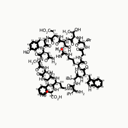 CC[C@H](C)[C@H](NC(=O)[C@@H](N)C(C)C)C(=O)N[C@@H](Cc1c[nH]c2ccccc12)C(=O)N[C@@H](CCCNC(=N)N)C(=O)NCC(=O)N[C@H](C(=O)N[C@H](C(=O)N[C@H](C(=O)N[C@@H](CC(=O)O)C(=O)N[C@@H](Cc1ccc(O)cc1)C(=O)N[C@@H](CC(N)=O)C(=O)N[C@@H](C)C(=O)N[C@@H](C)C(=O)N[C@@H](Cc1ccccc1)C(=O)N[C@@H](CCSC)C(=O)N[C@@H](CO)C(=O)O)[C@@H](C)O)[C@@H](C)O)C(C)C